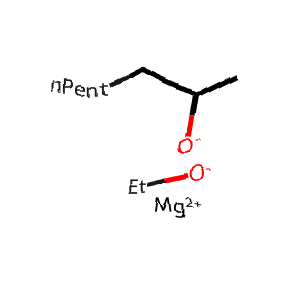 CCCCCCC(C)[O-].CC[O-].[Mg+2]